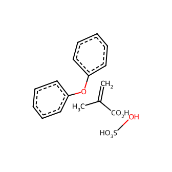 C=C(C)C(=O)O.O=S(=O)(O)O.c1ccc(Oc2ccccc2)cc1